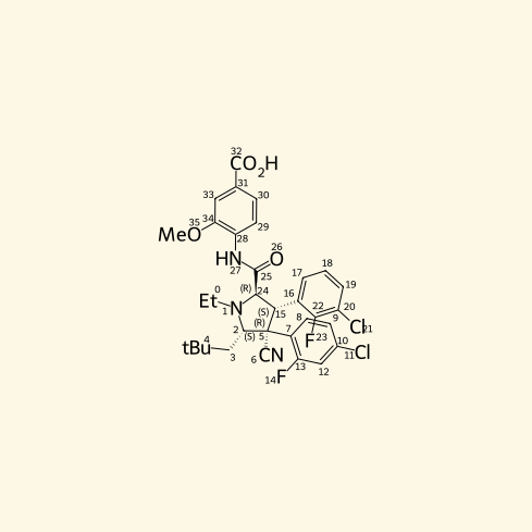 CCN1[C@@H](CC(C)(C)C)[C@](C#N)(c2ccc(Cl)cc2F)[C@@H](c2cccc(Cl)c2F)[C@@H]1C(=O)Nc1ccc(C(=O)O)cc1OC